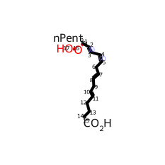 CCCCC[C@@H](/C=C/C=C\CC=CCC=CCCCC(=O)O)OO